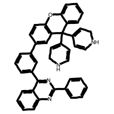 C1=CC(C2(C3=CCNC=C3)c3ccccc3Oc3ccc(-c4cccc(-c5nc(-c6ccccc6)nc6ccccc56)c4)cc32)=CCN1